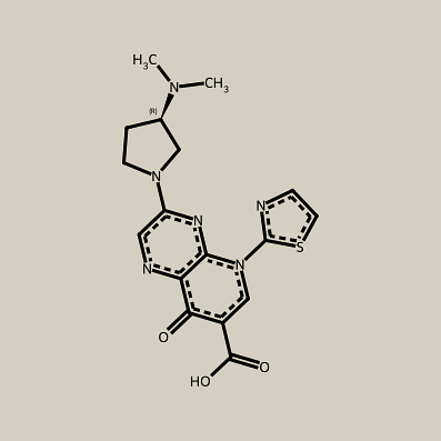 CN(C)[C@@H]1CCN(c2cnc3c(=O)c(C(=O)O)cn(-c4nccs4)c3n2)C1